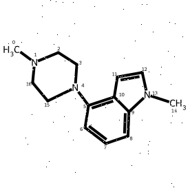 CN1CCN(c2cccc3c2ccn3C)CC1